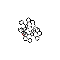 C[Si]1(CC[Si]2(C)C(c3cncc4ccccc34)=C(c3ccccc3)C(c3ccccc3)=C2c2cncc3ccccc23)C(c2cncc3ccccc23)=C(c2ccccc2)C(c2ccccc2)=C1c1cncc2ccccc12